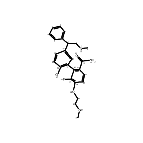 CNCC(c1ccccc1)c1ccc(Cl)c(-c2c(C(N)=O)ccc(OCCOC)c2F)c1